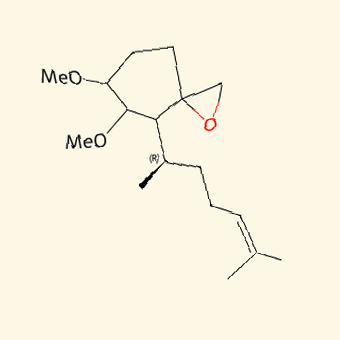 COC1CCC2(CO2)C([C@H](C)CCC=C(C)C)C1OC